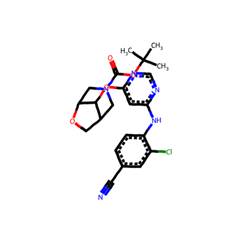 CC(C)(C)OC(=O)N1CC2COC(C1)C2Oc1cc(Nc2ccc(C#N)cc2Cl)ncn1